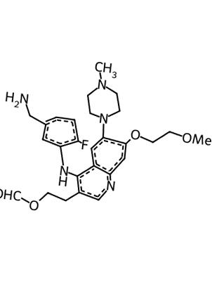 COCCOc1cc2ncc(CCOC=O)c(Nc3cc(CN)ccc3F)c2cc1N1CCN(C)CC1